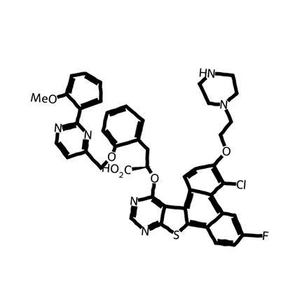 COc1ccccc1-c1nccc(COc2ccccc2C[C@@H](Oc2ncnc3sc4c5ccc(F)cc5c5c(Cl)c(OCCN6CCNCC6)ccc5c4c23)C(=O)O)n1